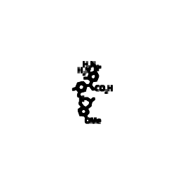 COc1ccc2c(c1)CC(C)CN(Cc1cc(C(CC(=O)O)c3ccc(N(C)N)c(N)c3C)ccc1C)C2